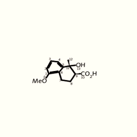 COc1cccc2c1CC[C@H](C(=O)O)[C@@]2(C)O